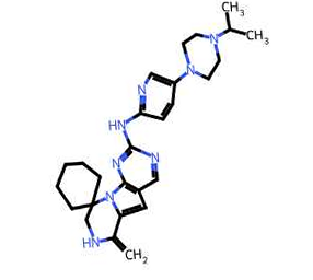 C=C1NCC2(CCCCC2)n2c1cc1cnc(Nc3ccc(N4CCN(C(C)C)CC4)cn3)nc12